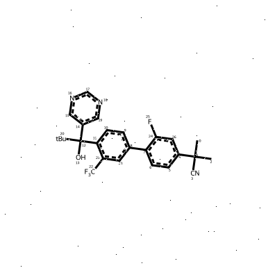 CC(C)(C#N)c1ccc(-c2ccc(C(O)(c3cncnc3)C(C)(C)C)c(C(F)(F)F)c2)c(F)c1